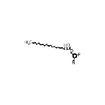 CCCCCCCCCCCCCCCCCCOC[C@H](CO)OCc1cc(F)cc(C#N)c1